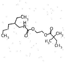 CCCCC(CC)CNC(=O)OCCOC(=O)C(C)(C)CC